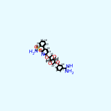 N=C(N)c1cccc(O[C@H]2CO[C@H]3[C@@H]2OC[C@H]3Oc2ccc(-c3ccccc3S(N)(=O)=O)cn2)c1